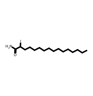 CCCCCCCCCCCCCCC(I)C(N)=O